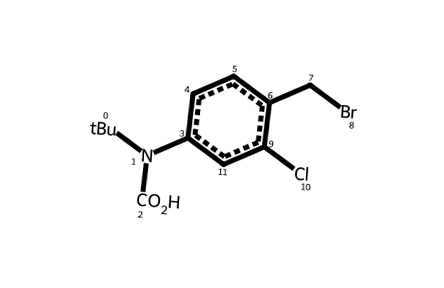 CC(C)(C)N(C(=O)O)c1ccc(CBr)c(Cl)c1